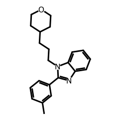 Cc1cccc(-c2nc3ccccc3n2CCCC2CCOCC2)c1